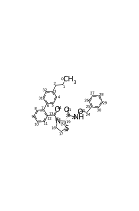 CCCc1ccc(-c2ccccc2C(=O)N2CCS[C@H]2C(=O)NOCc2ccccc2)cc1